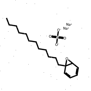 CCCCCCCCCCCCC12C=CC=CC1O2.O=S(=O)([O-])[O-].[Na+].[Na+]